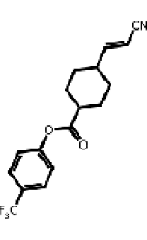 N#C/C=C/C1CCC(C(=O)Oc2ccc(C(F)(F)F)cc2)CC1